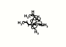 CCC[Si](OC)(OC)OC.CNC.N[SiH3]